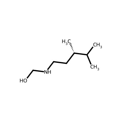 CC(C)[C@@H](C)CCNCO